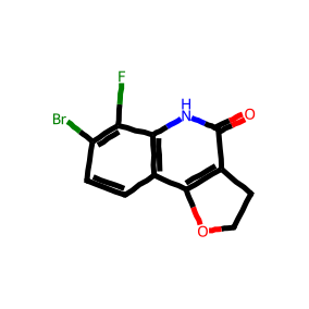 O=c1[nH]c2c(F)c(Br)ccc2c2c1CCO2